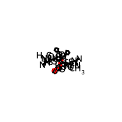 COc1cc(N=C(C#N)C#N)sc1-c1nc2c(s1)-c1cc3c(cc1C(C(=O)OCc1ccccc1)(C(=O)OCc1ccccc1)O2)-c1sc(-c2sc(N=C(C#N)C#N)cc2OC)nc1OC3(C(=O)OCc1ccccc1)C(=O)OCc1ccccc1